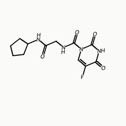 O=C(CNC(=O)n1cc(F)c(=O)[nH]c1=O)NC1CCCC1